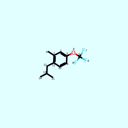 Cc1cc(OC(F)(F)F)ccc1CC(C)C